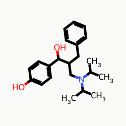 CC(C)N(CC(Cc1ccccc1)C(O)c1ccc(O)cc1)C(C)C